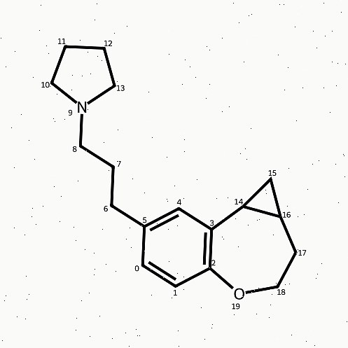 c1cc2c(cc1CCCN1CCCC1)C1CC1CCO2